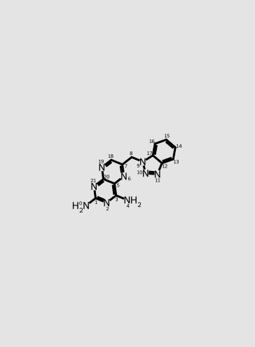 Nc1nc(N)c2nc(Cn3nnc4ccccc43)cnc2n1